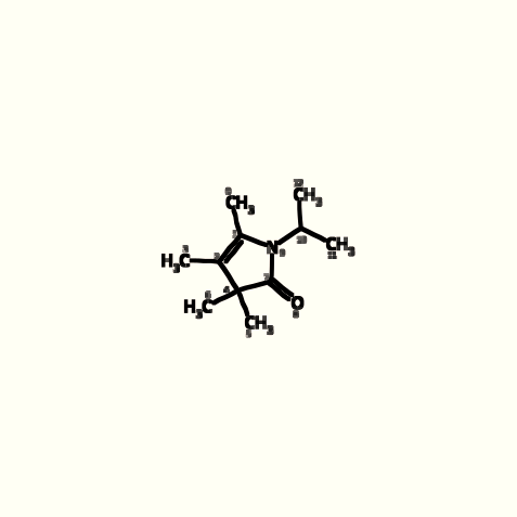 CC1=C(C)C(C)(C)C(=O)N1C(C)C